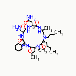 CCCC[C@H]1C(=O)N(C)[C@@H](CCC)C(=O)N[C@@H](C2CCCCC2)C(=O)N[C@@H](CN)C(=O)N[C@@H](CC(N)=O)C(=O)N[C@H](C)CN1CCCC